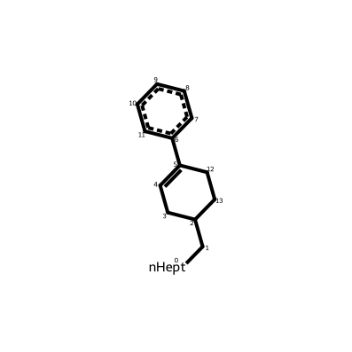 CCCCCCCCC1CC=C(c2ccccc2)CC1